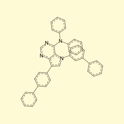 c1ccc(-c2ccc(-c3cn(-c4cccc(-c5ccccc5)c4)c4c(N(c5ccccc5)c5ccccc5)ncnc34)cc2)cc1